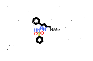 CNCc1cc(-c2ccccc2)n(NS(=O)(=O)c2ccccc2)n1